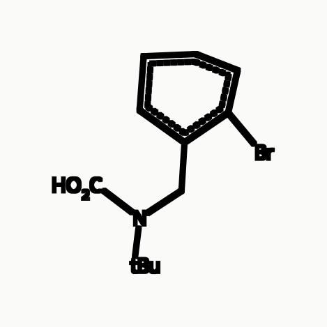 CC(C)(C)N(Cc1ccccc1Br)C(=O)O